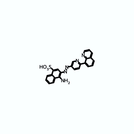 Nc1c(/N=N/c2ccc(-c3cccc4cccnc34)nc2)cc(S(=O)(=O)O)c2ccccc12